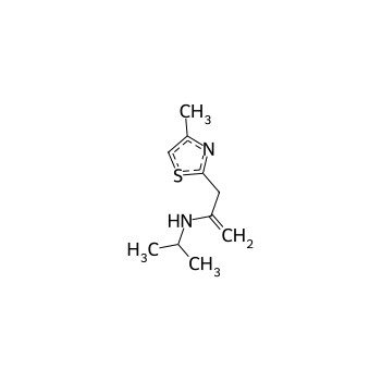 C=C(Cc1nc(C)cs1)NC(C)C